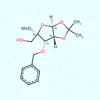 CO[C@]1(CO)O[C@H]2OC(C)(C)O[C@@H]2[C@@H]1OCc1ccccc1